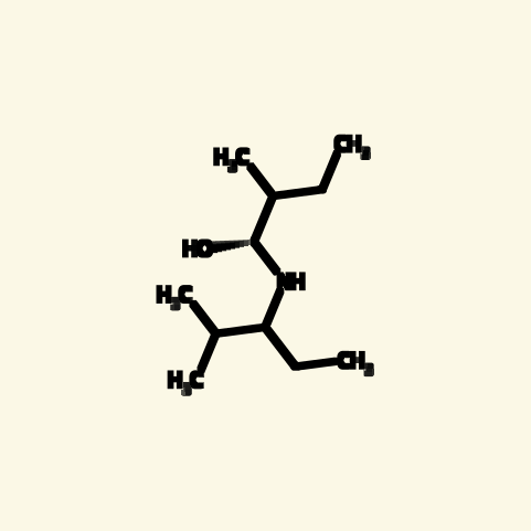 CCC(N[C@H](O)C(C)CC)C(C)C